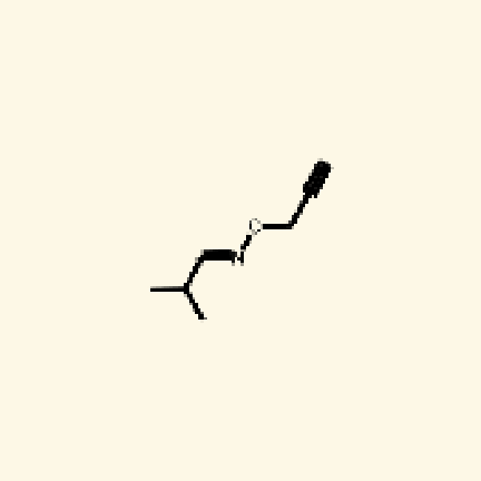 C#CCO/N=[C]/C(C)C